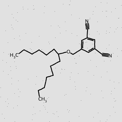 CCCCCCCC(CCCCCC)OCc1cc(C#N)cc(C#N)c1